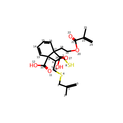 C=C(C)CSCC(CS)C1(C(=O)O)C=CC=CC1(CCOC(=O)C(=C)C)C(=O)O